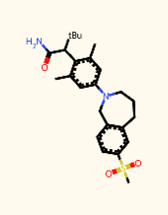 Cc1cc(N2CCCc3cc(S(C)(=O)=O)ccc3C2)cc(C)c1C(C(N)=O)C(C)(C)C